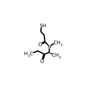 CCC(=O)[C@H](C)N(C)C(=O)CCS